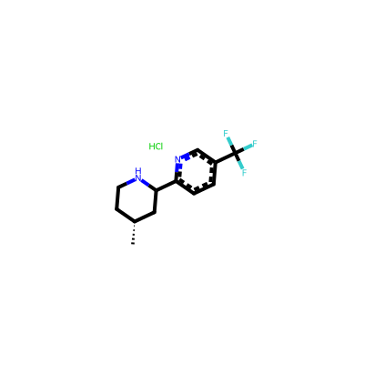 C[C@@H]1CCNC(c2ccc(C(F)(F)F)cn2)C1.Cl